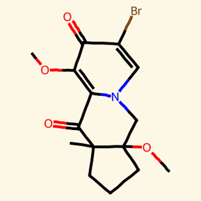 COc1c2n(cc(Br)c1=O)CC1(OC)CCCC1(C)C2=O